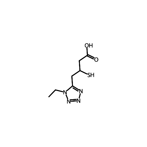 CCn1nnnc1CC(S)CC(=O)O